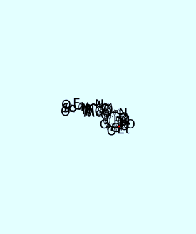 CC[C@H]1OC(=O)[C@H](C)C(=O)[C@H](C)[C@@H](O[C@@H]2O[C@H](C)C[C@H](N(C)CCc3cn([C@H](CF)Cc4ccc(S(C)(=O)=O)cc4)nn3)[C@H]2O)[C@](C)(OC)C[C@@H](C)C2=NCCN3C(=O)O[C@@]1(C)[C@H]3[C@H]2C